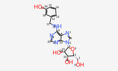 OC[C@H]1O[C@@H](n2cnc3c(NCc4cccc(O)c4)ncnc32)[C@H](O)[C@@H]1O